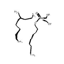 CCCCC(C)CC.CCCCCOP(=O)(O)O